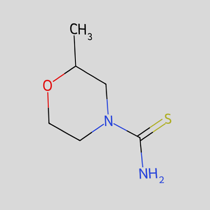 CC1CN(C(N)=S)CCO1